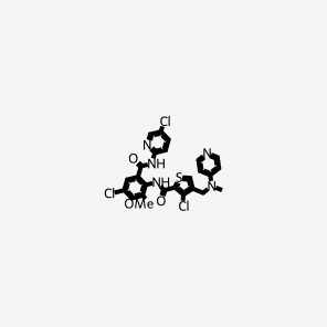 COc1cc(Cl)cc(C(=O)Nc2ccc(Cl)cn2)c1NC(=O)c1scc(CN(C)c2ccncc2)c1Cl